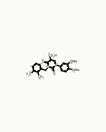 COc1ccc(-n2cc(C(=O)O)c(=O)n(Cc3cccc(C(F)(F)F)c3C)c2=O)cc1OC